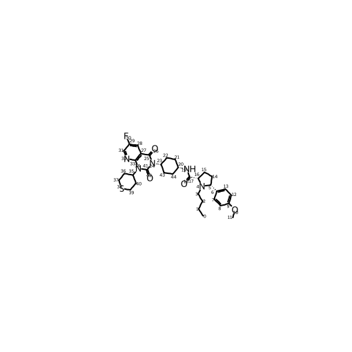 CCCCN1[C@@H](c2ccc(OC)cc2)CC[C@H]1C(=O)N[C@H]1CC[C@@H](n2c(=O)c3cc(F)cnc3n(C3CCSCC3)c2=O)CC1